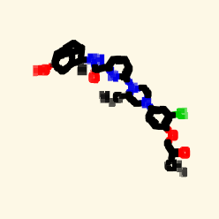 CC(=O)COc1ccc(N2CCN(c3cccc(C(=O)N[C@H]4C5CC6CC4C[C@](O)(C6)C5)n3)[C@H](C)C2)cc1Cl